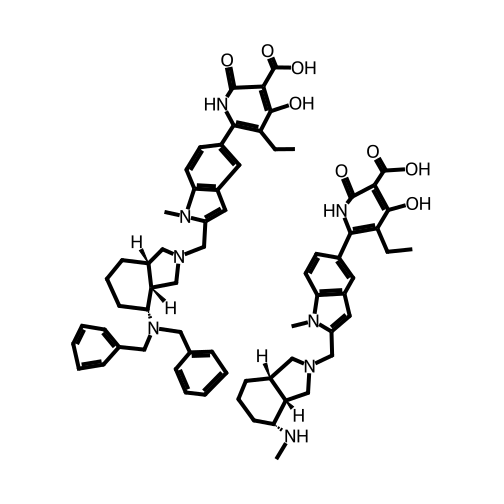 CCc1c(-c2ccc3c(c2)cc(CN2C[C@H]4CCC[C@@H](N(Cc5ccccc5)Cc5ccccc5)[C@H]4C2)n3C)[nH]c(=O)c(C(=O)O)c1O.CCc1c(-c2ccc3c(c2)cc(CN2C[C@H]4CCC[C@@H](NC)[C@H]4C2)n3C)[nH]c(=O)c(C(=O)O)c1O